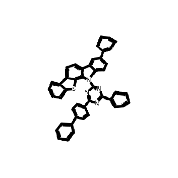 c1ccc(-c2ccc(-c3nc(-c4ccccc4)nc(-n4c5ccc(-c6ccccc6)cc5c5ccc6c7ccccc7sc6c54)n3)cc2)cc1